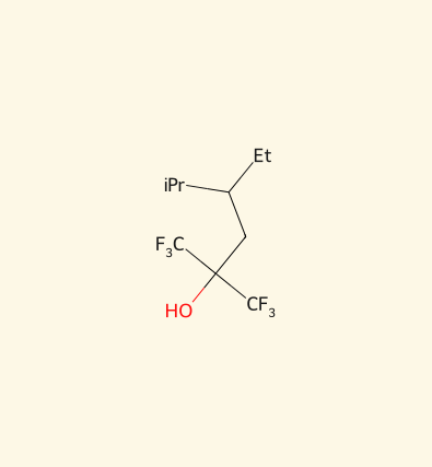 CCC(CC(O)(C(F)(F)F)C(F)(F)F)C(C)C